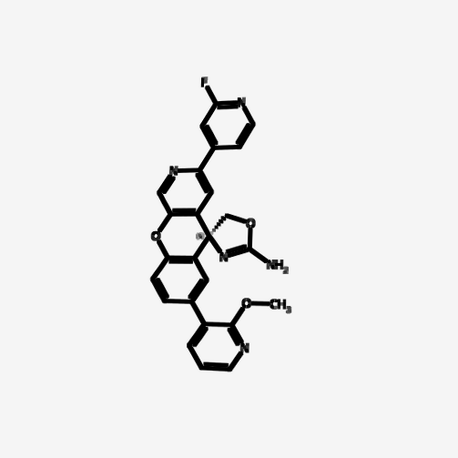 COc1ncccc1-c1ccc2c(c1)[C@@]1(COC(N)=N1)c1cc(-c3ccnc(F)c3)ncc1O2